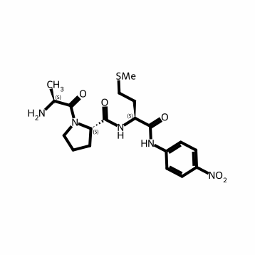 CSCC[C@H](NC(=O)[C@@H]1CCCN1C(=O)[C@H](C)N)C(=O)Nc1ccc([N+](=O)[O-])cc1